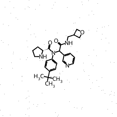 CC(C)(C)c1ccc(N(C(=O)[C@H]2CCCN2)C(C(=O)NCC2COC2)c2cccnc2)cc1